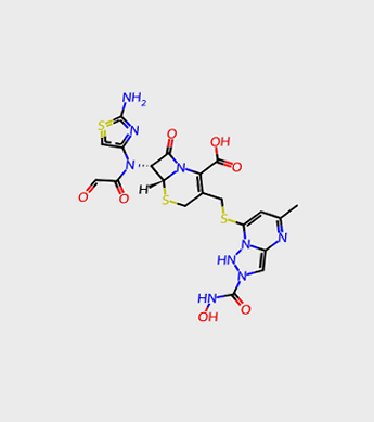 CC1=NC2=CN(C(=O)NO)NN2C(SCC2=C(C(=O)O)N3C(=O)[C@@H](N(C(=O)C=O)c4csc(N)n4)[C@H]3SC2)=C1